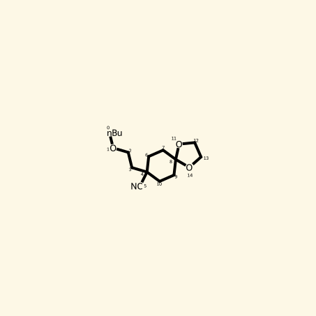 CCCCOCCC1(C#N)CCC2(CC1)OCCO2